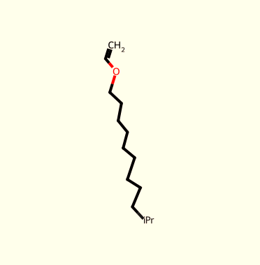 C=COCCCCCCCCCC(C)C